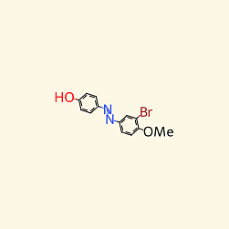 COc1ccc(N=Nc2ccc(O)cc2)cc1Br